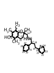 Cc1c(C)c2c(c(C)c1O)CCC(C)(CNCC(CCc1ccccn1)c1ccccc1)O2